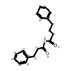 O=C(CCCc1ccccc1)OC(=O)CCc1ccccc1